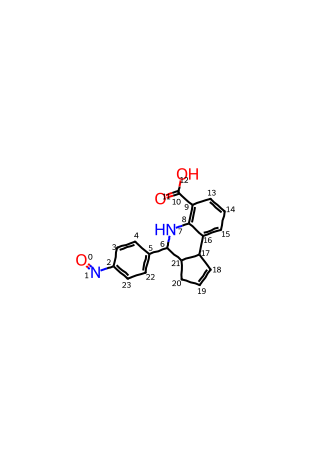 O=Nc1ccc(C2Nc3c(C(=O)O)cccc3C3C=CCC32)cc1